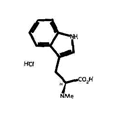 CN[C@@H](Cc1c[nH]c2ccccc12)C(=O)O.Cl